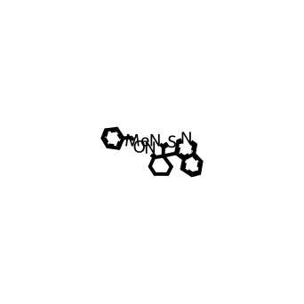 CNC(=S)C1(c2cncc3ccccc23)CCCCC1=NOCc1ccccc1